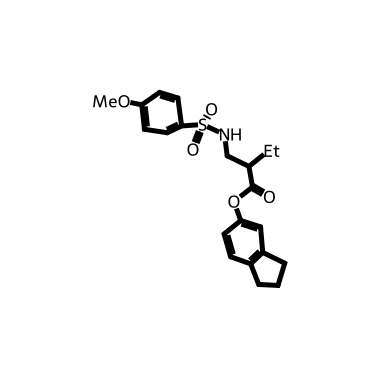 CCC(CNS(=O)(=O)c1ccc(OC)cc1)C(=O)Oc1ccc2c(c1)CCC2